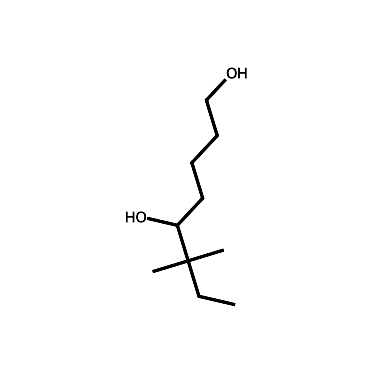 CCC(C)(C)C(O)CCCCO